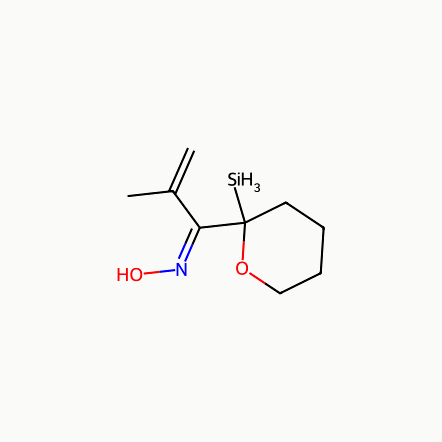 C=C(C)C(=NO)C1([SiH3])CCCCO1